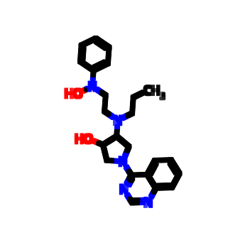 CCCN(CCN(O)c1ccccc1)C1CN(c2ncnc3ccccc23)CC1O